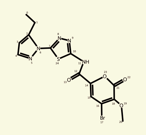 CCc1ccnn1-c1nnc(NC(=O)c2cc(Br)c(OC)c(=O)o2)s1